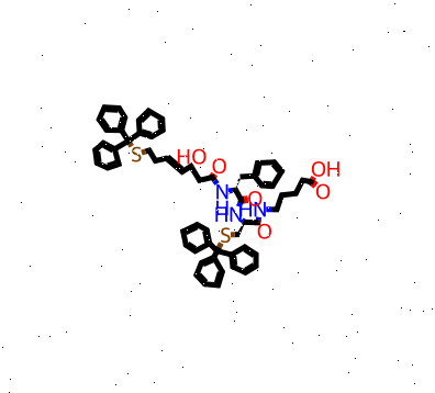 O=C(O)CCCCNC(=O)[C@@H](CSC(c1ccccc1)(c1ccccc1)c1ccccc1)NC(=O)[C@@H](Cc1ccccc1)NC(=O)C[C@H](O)C=CCCSC(c1ccccc1)(c1ccccc1)c1ccccc1